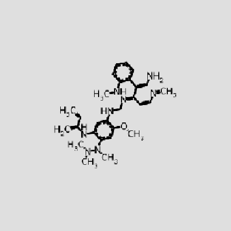 C=CC(=C)Nc1cc(NC/N=C(\C=C/N=C)C(=C/N)/c2ccccc2NC)c(OC)cc1N(C)N(C)C